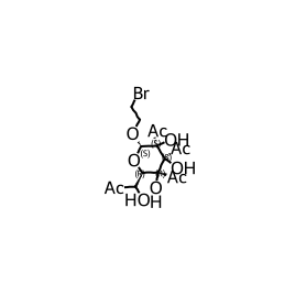 CC(=O)C(O)[C@H]1O[C@H](OCCBr)[C@](O)(C(C)=O)[C@](O)(C(C)=O)[C@@]1(O)C(C)=O